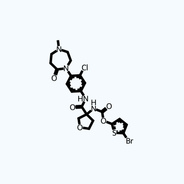 CN1CCC(=O)N(c2ccc(NC(=O)C3(NC(=O)Oc4ccc(Br)s4)CCOC3)cc2Cl)CC1